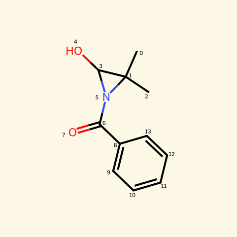 CC1(C)C(O)N1C(=O)c1ccccc1